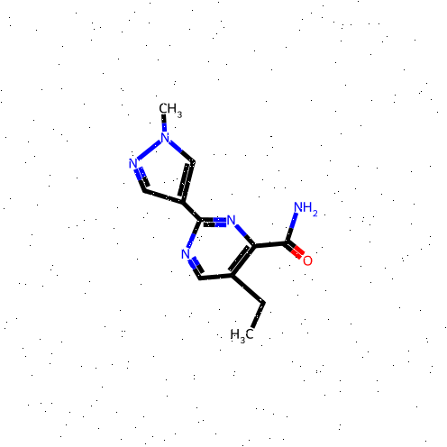 CCc1cnc(-c2cnn(C)c2)nc1C(N)=O